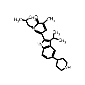 Cc1cc(-c2[nH]c3ccc(C4CCNCC4)cc3c2C(C)C)cn(CC(C)C)c1=O